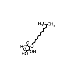 CC(C)CCCCCCCCCCOC(C(=O)O)C(O)C(=O)O